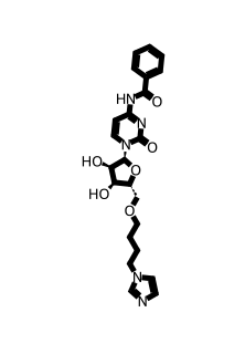 O=C(Nc1ccn([C@@H]2O[C@H](COCCCCn3ccnc3)[C@@H](O)[C@H]2O)c(=O)n1)c1ccccc1